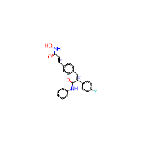 O=C(/C=C/c1ccc(/C=C(\C(=O)Nc2ccccc2)c2ccc(F)cc2)cc1)NO